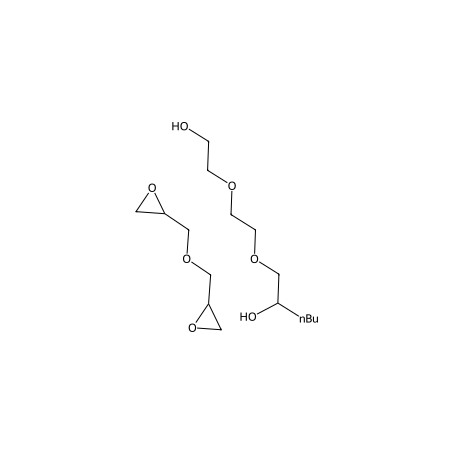 C(OCC1CO1)C1CO1.CCCCC(O)COCCOCCO